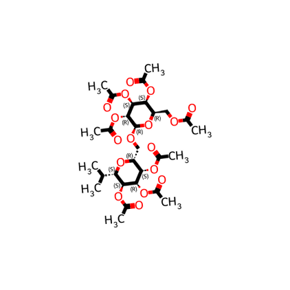 CC(=O)OC[C@H]1O[C@@H](OC[C@H]2O[C@@H](C(C)C)[C@H](OC(C)=O)[C@@H](OC(C)=O)[C@H]2OC(C)=O)[C@H](OC(C)=O)[C@@H](OC(C)=O)[C@H]1OC(C)=O